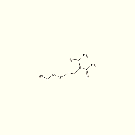 CC(=O)N(CCSOOO)C(C)C